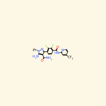 CC(C)n1nc(-c2ccc(C(=O)Nc3cc(C(F)(F)F)ccn3)c(F)c2F)c(C(N)=O)c1N